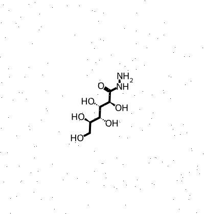 NNC(=O)[C@@H](O)[C@@H](O)[C@H](O)[C@H](O)CO